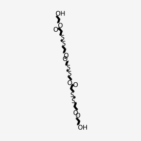 O=C(CCSCSCCCOOCCSCSCCOC(=O)CCSCSCCCOOCCCO)OCCCO